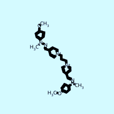 COc1ccc(N(C)/N=C/c2cc[n+](CCC[n+]3ccc(/C=N/N(C)c4ccc(OC)cc4)cc3)cc2)cc1